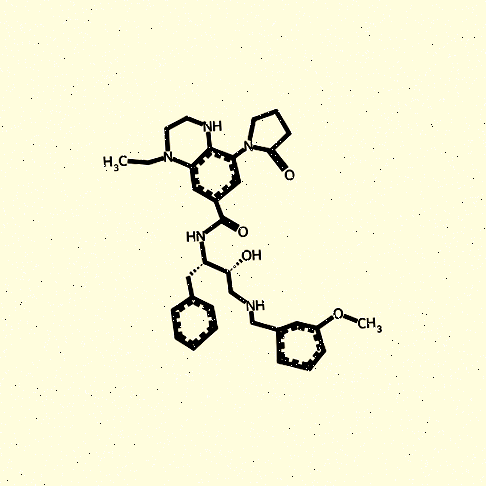 CCN1CCNc2c1cc(C(=O)N[C@@H](Cc1ccccc1)[C@H](O)CNCc1cccc(OC)c1)cc2N1CCCC1=O